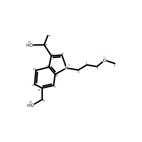 COCCCn1cc(C(C)O)c2ccc(CO)cc21